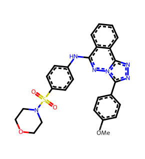 COc1ccc(-c2nnc3c4ccccc4c(Nc4ccc(S(=O)(=O)N5CCOCC5)cc4)nn23)cc1